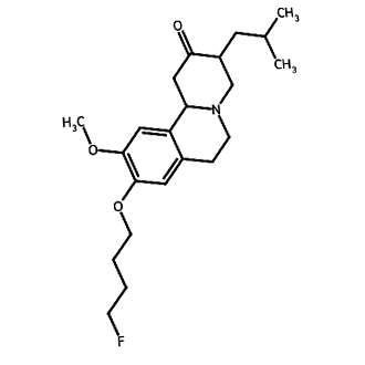 COc1cc2c(cc1OCCCCF)CCN1CC(CC(C)C)C(=O)CC21